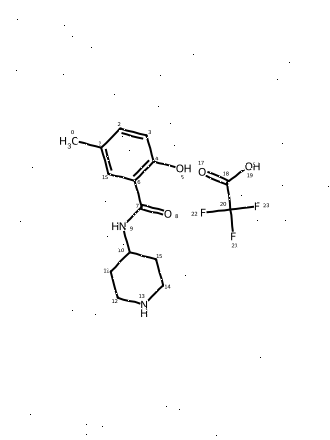 Cc1ccc(O)c(C(=O)NC2CCNCC2)c1.O=C(O)C(F)(F)F